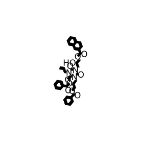 C=CCn1c(=O)n(CC(O)COC(=O)c2ccc3ccccc3c2)c(=O)n(CC(COC(=O)c2ccccc2)OC(=O)c2ccccc2)c1=O